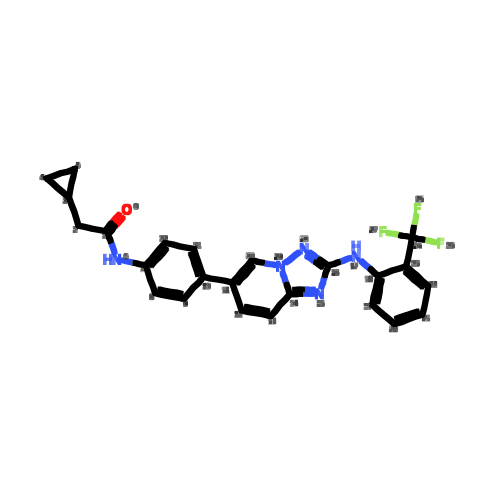 O=C(CC1CC1)Nc1ccc(-c2ccc3nc(Nc4ccccc4C(F)(F)F)nn3c2)cc1